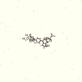 CC(C)N(C)SNc1ccc(-c2cc(NC(=O)C3CC3)nc3[nH]ccc23)cc1